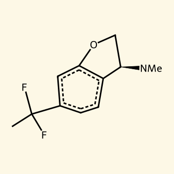 CN[C@@H]1COc2cc(C(C)(F)F)ccc21